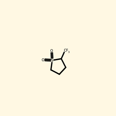 O=S1(=O)CCCC1C(F)(F)F